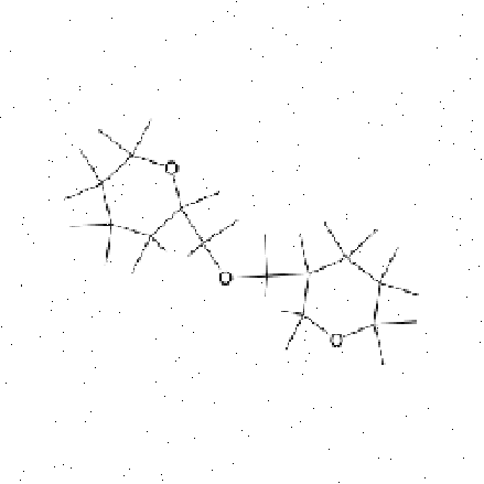 CC1(C)OC(C)(C(C)(C)OC(C)(C)C2(C)C(C)(C)OC(C)(C)C(C)(C)C2(C)C)C(C)(C)C(C)(C)C1(C)C